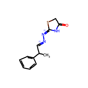 CC(/C=N/N=C1\NC(=O)CS1)c1ccccc1